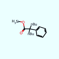 CCCCC(CCCC)(C(=O)O[SiH3])c1ccccc1